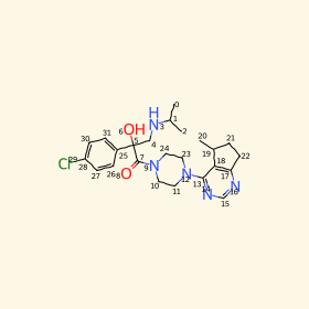 CC(C)NCC(O)(C(=O)N1CCN(c2ncnc3c2C(C)CC3)CC1)c1ccc(Cl)cc1